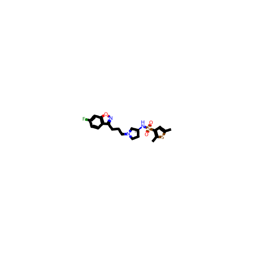 Cc1cc(S(=O)(=O)N[C@H]2CCN(CCCc3noc4cc(F)ccc34)C2)c(C)s1